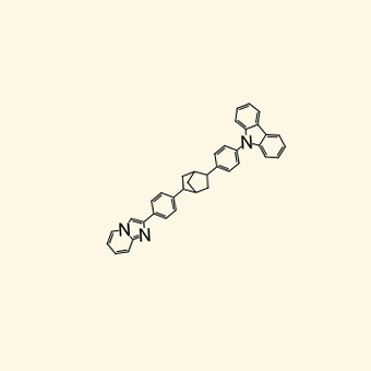 c1ccc2c(c1)c1ccccc1n2-c1ccc(C2CC3CC2CC3c2ccc(-c3cn4ccccc4n3)cc2)cc1